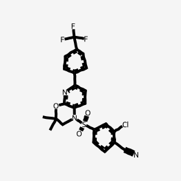 CC1(C)CN(S(=O)(=O)c2ccc(C#N)c(Cl)c2)c2ccc(-c3ccc(C(F)(F)F)cc3)nc2O1